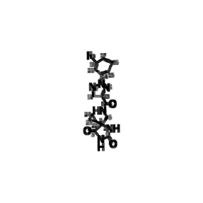 O=C1NC(=O)[C@](CNC(=O)c2cnn(-c3cccc(F)c3)n2)(C2CC2)N1